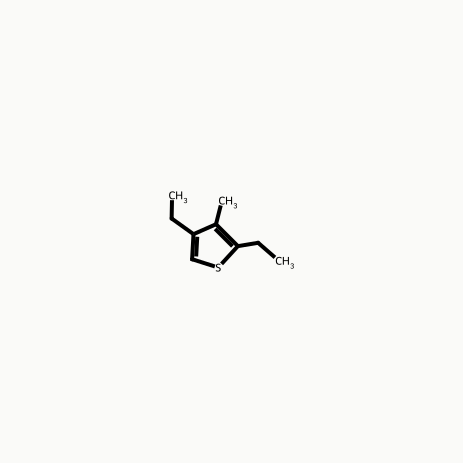 CCc1csc(CC)c1C